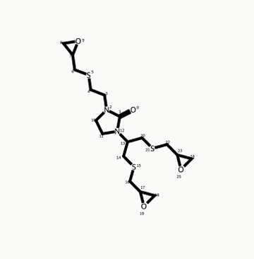 O=C1N(CCSCC2CO2)CCN1C(CSCC1CO1)CSCC1CO1